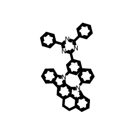 c1ccc(-c2nc(-c3ccccc3)nc(-c3cccc(-n4c5ccccc5c5cc6c7c8c(cccc8n(-c8ccccc8)c7c54)CC6)c3)n2)cc1